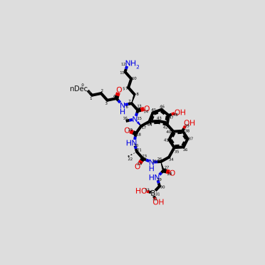 CCCCCCCCCCCCCC(=O)N[C@@H](CCCCN)C(=O)N(C)[C@@H]1C(=O)N[C@@H](C)C(=O)N[C@H](C(=O)NCB(O)O)Cc2ccc(O)c(c2)-c2cc1ccc2O